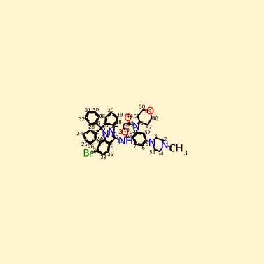 CN1CCN(c2ccc(C(=O)Nc3nn(C(c4ccccc4)(c4ccccc4)c4ccccc4)c4cc(Br)ccc34)c(N(C(=O)C(F)(F)F)C3CCOCC3)c2)CC1